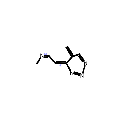 C=c1cnnn/c1=C/C=N\C